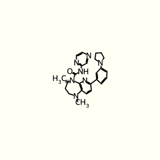 C[C@@H]1CCN(C)c2ccc(-c3cccc(N4CCCC4)c3)nc2N1C(=O)Nc1cnccn1